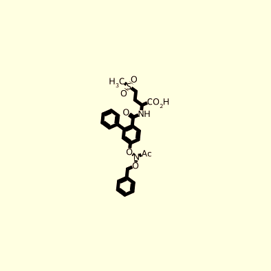 CC(=O)N(OCc1ccccc1)Oc1ccc(C(=O)NC(CCS(C)(=O)=O)C(=O)O)c(-c2ccccc2)c1